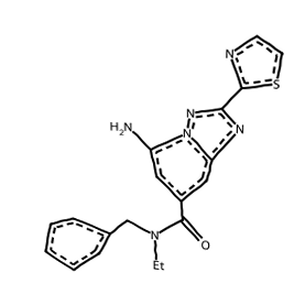 CCN(Cc1ccccc1)C(=O)c1cc(N)n2nc(-c3nccs3)nc2c1